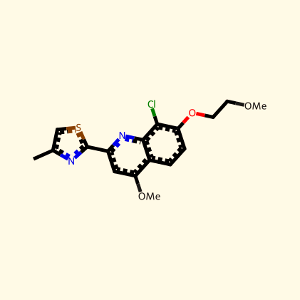 COCCOc1ccc2c(OC)cc(-c3nc(C)cs3)nc2c1Cl